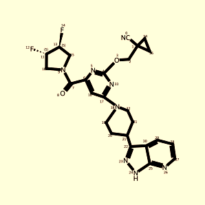 N#CC1(COc2nc(C(=O)N3C[C@H](F)[C@@H](F)C3)cc(N3CCC(c4n[nH]c5ncccc45)CC3)n2)CC1